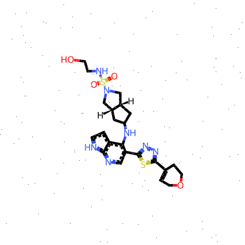 O=S(=O)(NCCO)N1C[C@H]2CC(Nc3c(-c4nnc(C5=CCOCC5)s4)cnc4[nH]ccc34)C[C@H]2C1